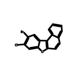 Clc1cc2oc3ccc4ccccc4c3c2cc1Br